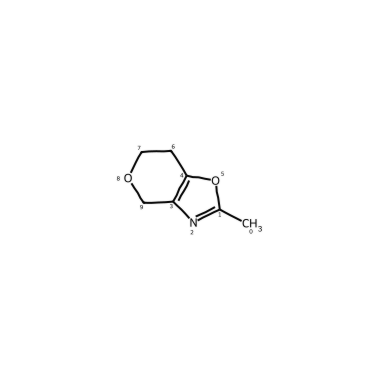 Cc1nc2c(o1)CCOC2